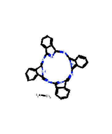 [CH3][AlH2].c1ccc2c(c1)-c1nc-2nc2[nH]c(nc3nc(nc4[nH]c(n1)c1ccccc41)-c1ccccc1-3)c1ccccc21